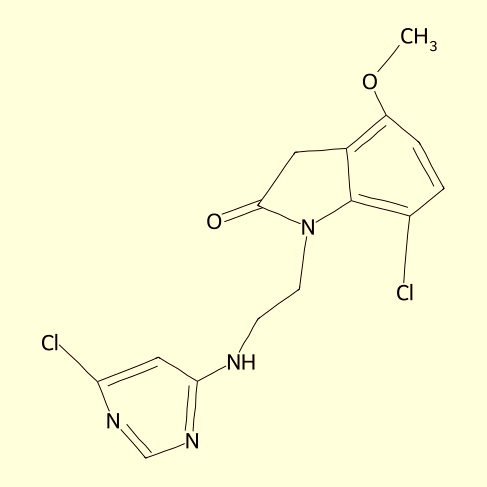 COc1ccc(Cl)c2c1CC(=O)N2CCNc1cc(Cl)ncn1